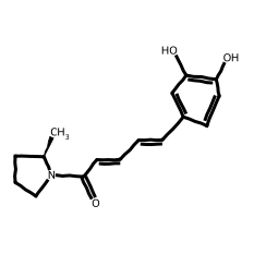 C[C@@H]1CCCN1C(=O)/C=C/C=C/c1ccc(O)c(O)c1